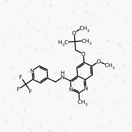 COc1cc2nc(C)nc(NCc3ccnc(C(F)(F)F)c3)c2cc1OCC(C)(C)OC